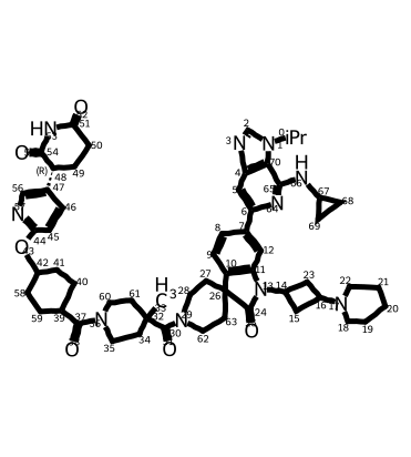 CC(C)n1cnc2cc(-c3ccc4c(c3)N(C3CC(N5CCCCC5)C3)C(=O)C43CCN(C(=O)C4(C)CCN(C(=O)C5CCC(Oc6ccc([C@H]7CCC(=O)NC7=O)cn6)CC5)CC4)CC3)nc(NC3CC3)c21